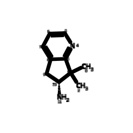 CC1(C)c2ncccc2C[C@H]1N